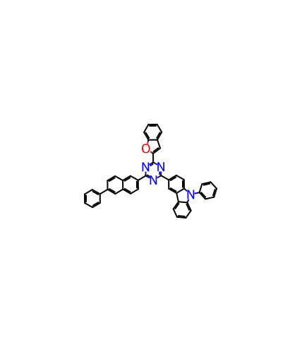 c1ccc(-c2ccc3cc(-c4nc(-c5ccc6c(c5)c5ccccc5n6-c5ccccc5)nc(-c5cc6ccccc6o5)n4)ccc3c2)cc1